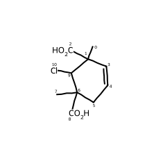 CC1(C(=O)O)C=CCC(C)(C(=O)O)C1Cl